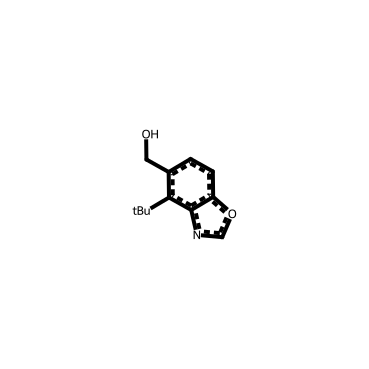 CC(C)(C)c1c(CO)ccc2ocnc12